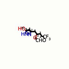 O=COC(CCC(F)(F)F)Cc1cc(O)[nH]n1